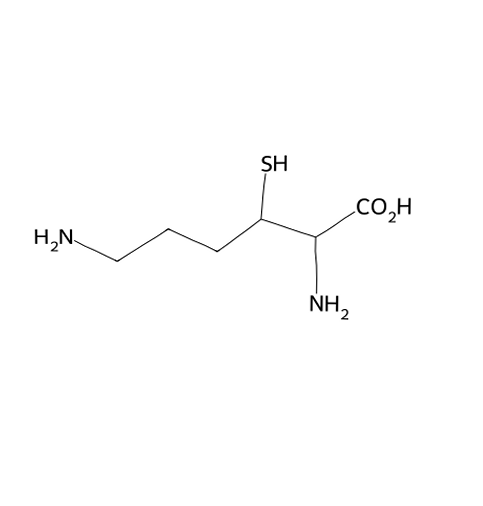 NCCCC(S)C(N)C(=O)O